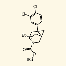 CCOCC12CN(C(=O)OC(C)(C)C)CCC1(c1ccc(Cl)c(Cl)c1)C2